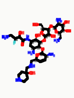 NC[C@@H]1O[C@H](O[C@H]2[C@@H](O)[C@H](O[C@@H]3[C@@H](O)[C@H](NC(=O)C(O)[C@@H](F)CN)C[C@H](N)[C@H]3O[C@H]3O[C@H](CNCC4(O)CCNCC4)C=C[C@H]3N)O[C@@H]2CO)[C@H](N)[C@@H](O)[C@@H]1O